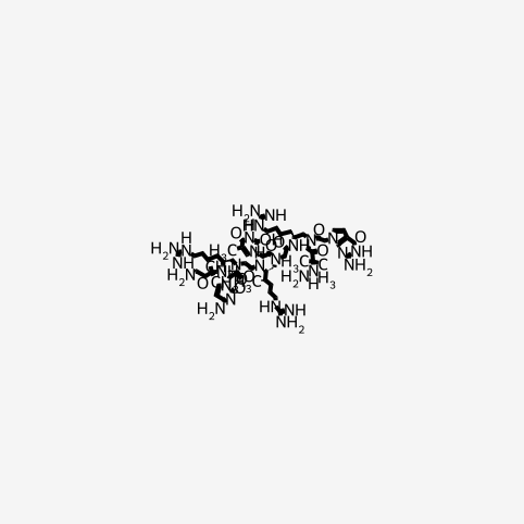 CC1=CN(CC(=O)N(CC(=O)N[C@@H](CCCCNC(=N)N)CN(CC(=O)C(C)(C)NN)C(=O)Cn2ccc3c(=O)[nH]c(N)nc32)C[C@@H](NC(=O)CN(C[C@H](CCCCNC(=N)N)NC(C)(C)C(=O)CN)C(=O)Cn2ccc(N)nc2=O)[C@@H](C)CCCNC(=N)N)C(O)NC1=O